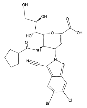 N#Cc1c2cc(Br)c(Cl)cc2nn1[C@H]1C=C(C(=O)O)O[C@@H]([C@H](O)[C@H](O)CO)[C@@H]1NC(=O)C1CCCC1